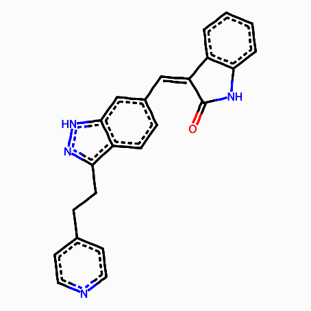 O=C1Nc2ccccc2C1=Cc1ccc2c(CCc3ccncc3)n[nH]c2c1